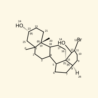 CC12CCC3C4CC[C@@H]5CCC(Br)C(O)[C@]45CCC3[C@@]1(C)CC[C@@H](O)C2